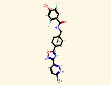 O=C(NCC12CCC(c3nc(-c4ccc(C(F)(F)F)nn4)no3)(CC1)CC2)c1cc(F)c(O)cc1F